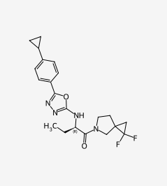 CC[C@@H](Nc1nnc(-c2ccc(C3CC3)cc2)o1)C(=O)N1CCC2(C1)CC2(F)F